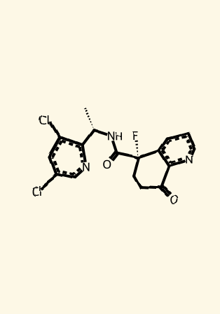 C[C@H](NC(=O)[C@]1(F)CCC(=O)c2ncccc21)c1ncc(Cl)cc1Cl